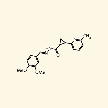 COc1ccc(C=NNC(=O)C2CC2c2cccc(C)n2)cc1OC